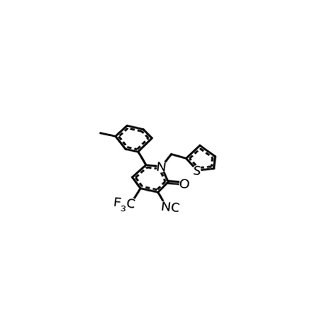 [C-]#[N+]c1c(C(F)(F)F)cc(-c2cccc(C)c2)n(Cc2cccs2)c1=O